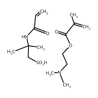 C=C(C)C(=O)OCCN(C)C.C=CC(=O)NC(C)(C)CS(=O)(=O)O